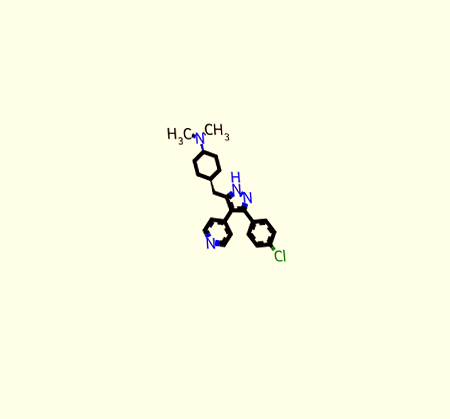 CN(C)[C@H]1CC[C@@H](Cc2[nH]nc(-c3ccc(Cl)cc3)c2-c2ccncc2)CC1